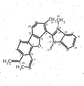 C=Cc1ccc2c(oc3c(-c4n(I)c5ccccc5[n+]4C)c(C)ccc32)c1/C=C\C